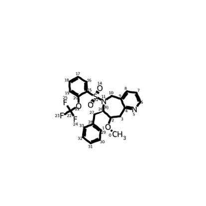 COC1Cc2ncccc2CN(S(=O)(=O)c2ccccc2OC(F)(F)F)[C@@H]1Cc1ccccc1